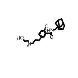 CN(CCO)CCCc1ccc(Cl)c(C(=O)NCC23CC4CC(CC(C4)C2)C3)c1